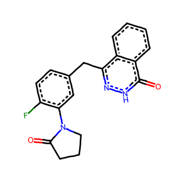 O=C1CCCN1c1cc(Cc2n[nH]c(=O)c3ccccc23)ccc1F